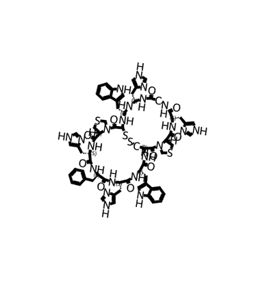 O=C1CNC(=O)[C@H](Cc2c[nH]cn2)NC(=O)[C@@H]2CSCN2C(=O)[C@@H]2CSSC(N[C@H](Cc3c[nH]c4ccccc34)N[C@H](Cc3c[nH]cn3)N1)C(=O)N1CSC[C@H]1C(=O)N[C@@H](Cc1c[nH]cn1)C(=O)N[C@H](Cc1ccccc1)C(=O)N[C@@H](Cc1c[nH]cn1)C(=O)N[C@@H](Cc1c[nH]c3ccccc13)C(=O)N2